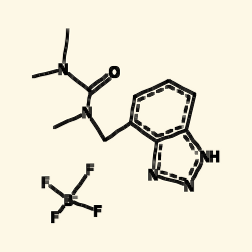 CN(C)C(=O)N(C)Cc1cccc2[nH]nnc12.F[B-](F)(F)F